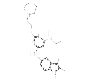 CCNc1cc(Nc2ccc3[nH]c(C)c(C)c3c2)nc(OCCN2CCOCC2)n1